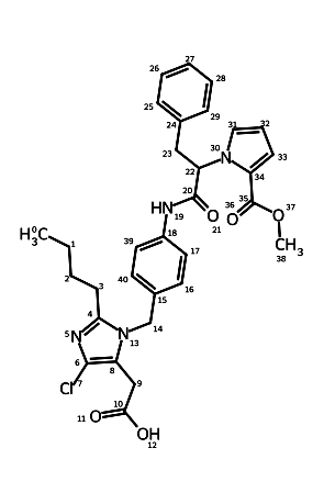 CCCCc1nc(Cl)c(CC(=O)O)n1Cc1ccc(NC(=O)C(Cc2ccccc2)n2cccc2C(=O)OC)cc1